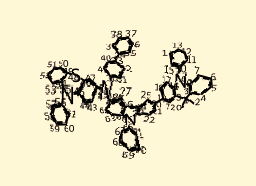 CC1(C)c2ccccc2N(c2ccccc2)c2ccc(-c3ccc4c(c3)c3cc(N(c5ccc(-c6ccccc6)cc5)c5ccc6c(c5)Sc5ccccc5N6c5ccccc5)ccc3n4-c3ccccc3)cc21